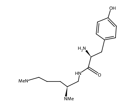 CNCCC[C@@H](CNC(=O)[C@@H](N)Cc1ccc(O)cc1)NC